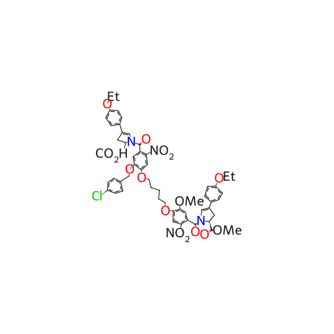 CCOc1ccc(C2=CN(C(=O)c3cc(OCc4ccc(Cl)cc4)c(OCCCCCOc4cc([N+](=O)[O-])c(C(=O)N5C=C(c6ccc(OCC)cc6)C[C@H]5C(=O)OC)cc4OC)cc3[N+](=O)[O-])C(C(=O)O)C2)cc1